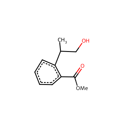 COC(=O)c1ccccc1C(C)CO